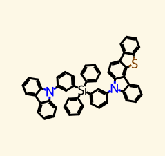 c1ccc([Si](c2ccccc2)(c2cccc(-n3c4ccccc4c4ccccc43)c2)c2cccc(-n3c4ccccc4c4c5sc6ccccc6c5ccc43)c2)cc1